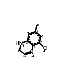 Cc1cc(Cl)c2c(c1)NCC=N2